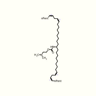 CCCCC/C=C\C/C=C\CCCCCCCCC(CCCCCCCC/C=C\C/C=C\CCCCC)NC(=O)OCCN(C)C